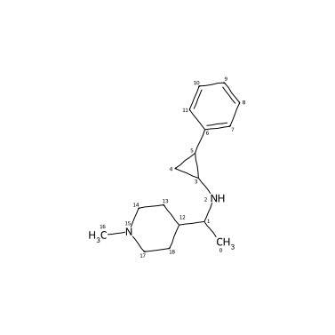 CC(NC1CC1c1ccccc1)C1CCN(C)CC1